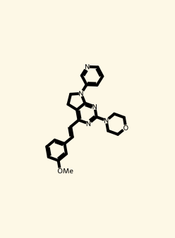 COc1cccc(/C=C/c2nc(N3CCOCC3)nc3c2CCN3c2cccnc2)c1